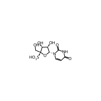 O=c1ccn([C@@H]2O[C@@](CO)(S(=O)(=O)O)[C@@H](O)[C@H]2O)c(=O)[nH]1